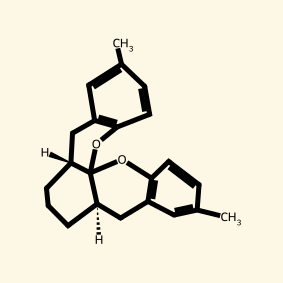 Cc1ccc2c(c1)C[C@H]1CCC[C@@H]3Cc4cc(C)ccc4OC13O2